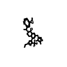 CCn1cc(-c2cc(Cn3cnc(C)c3C)cc3c2CCN(C(C)c2cc(OC)ccn2)C3=O)c(C(F)(F)F)n1